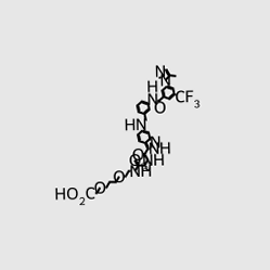 Cc1cncn1-c1cc(C(=O)Nc2cccc(CNc3ccc4c(C(=O)N[C@@H](C)C(=O)NCCOCCCOCC(=O)O)[nH]nc4c3)c2)cc(C(F)(F)F)c1